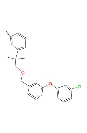 Cc1cccc(C(C)(C)COCc2cccc(Oc3cccc(Cl)c3)c2)c1